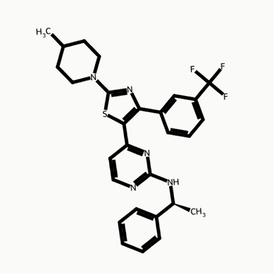 CC1CCN(c2nc(-c3cccc(C(F)(F)F)c3)c(-c3ccnc(N[C@@H](C)c4ccccc4)n3)s2)CC1